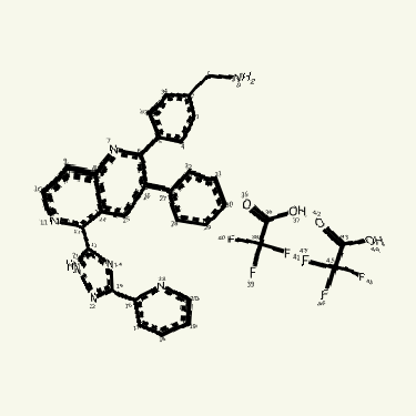 NCc1ccc(-c2nc3ccnc(-c4nc(-c5ccccn5)n[nH]4)c3cc2-c2ccccc2)cc1.O=C(O)C(F)(F)F.O=C(O)C(F)(F)F